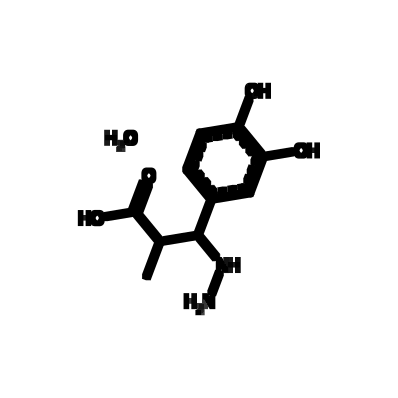 CC(C(=O)O)C(NN)c1ccc(O)c(O)c1.O